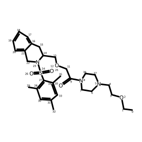 CCOCCN1CCN(C(=O)COCC2Cc3ccccc3CN2S(=O)(=O)c2c(C)cc(C)cc2C)CC1